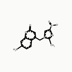 Cc1nc([N+](=O)[O-])cn1Cc1cc(=O)oc2cc(N)ccc12